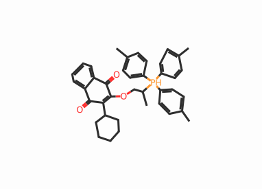 Cc1ccc([PH](c2ccc(C)cc2)(c2ccc(C)cc2)C(C)COC2=C(C3CCCCC3)C(=O)c3ccccc3C2=O)cc1